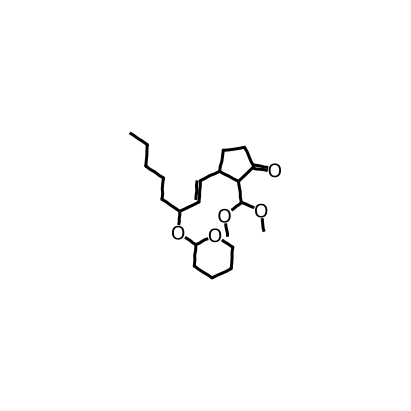 CCCCCC(C=CC1CCC(=O)C1C(OC)OC)OC1CCCCO1